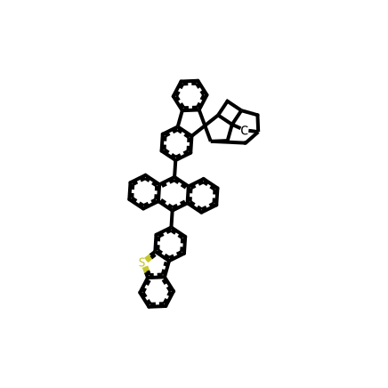 c1ccc2c(c1)-c1ccc(-c3c4ccccc4c(-c4ccc5c(c4)sc4ccccc45)c4ccccc34)cc1C21C2CC3CC4CC1C4(C3)C2